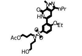 CCCc1nn(C)c2c(=O)[nH]c(-c3cc(S(=O)(=O)N(CCCO)CCCOC(C)=O)ccc3OCC)cc12